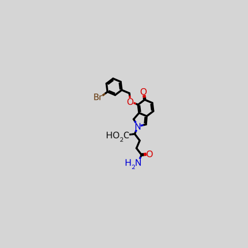 NC(=O)CCC(C(=O)O)N1C=C2C=CC(=O)C(OCc3cccc(Br)c3)=C2C1